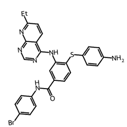 CCc1ccc2c(Nc3cc(C(=O)Nc4ccc(Br)cc4)ccc3Sc3ccc(N)cc3)ncnc2n1